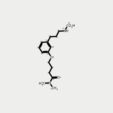 CN(C)C(=O)CCCOc1cccc(CCCNC(=O)O)c1